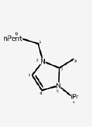 CCCCCCN1C=CN(C(C)C)C1C